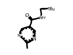 Cc1ncc(C(=O)NCC(C)(C)C)cn1